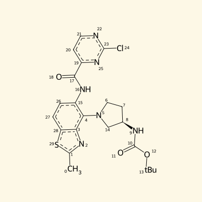 Cc1nc2c(N3CC[C@@H](NC(=O)OC(C)(C)C)C3)c(NC(=O)c3ccnc(Cl)n3)ccc2s1